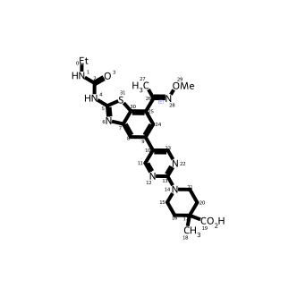 CCNC(=O)Nc1nc2cc(-c3cnc(N4CCC(C)(C(=O)O)CC4)nc3)cc(/C(C)=N/OC)c2s1